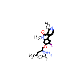 Cc1nccc2c1c(=O)n(C)c1cc(OCC(N)CC(C)C)c(I)cc21